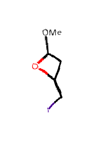 COC1CC(CI)O1